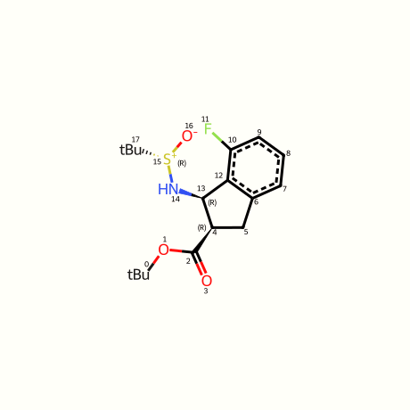 CC(C)(C)OC(=O)[C@@H]1Cc2cccc(F)c2[C@@H]1N[S@@+]([O-])C(C)(C)C